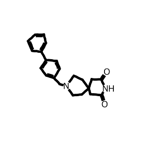 O=C1CC2(CCN(Cc3ccc(-c4ccccc4)cc3)CC2)CC(=O)N1